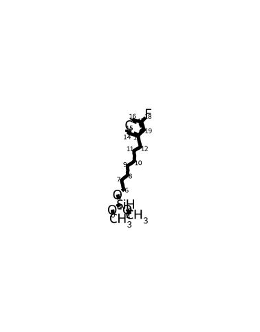 CO[SiH](OC)OCCCCCCCc1cccc(F)c1